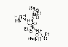 CCC(=O)N(CCNC(C)(C)C)CC(=O)NCCN(C(=O)CC)[C@@H](CCCNC(=N)N)C(=O)NCCN(CC(=O)C(C)(C)C)C(=O)CC